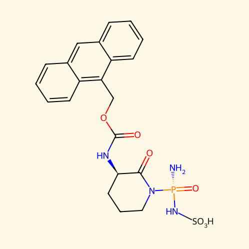 N[P@](=O)(NS(=O)(=O)O)N1CCC[C@@H](NC(=O)OCc2c3ccccc3cc3ccccc23)C1=O